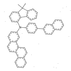 CC1(C)c2ccccc2-c2c(N(c3ccc(-c4ccc5ccccc5c4)cc3)c3ccc4ccc5c6ccccc6ccc5c4c3)cccc21